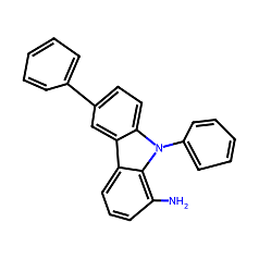 Nc1cccc2c3cc(-c4ccccc4)ccc3n(-c3ccccc3)c12